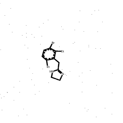 CCc1ccc(Br)c(CC)c1CC1=NCCN1